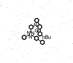 CCCCc1ccc2oc3c(ccc4c5ccccc5n(-c5cccc(-c6nc(-c7ccccc7)nc(-c7ccc(-c8ccccc8)cc7)n6)c5)c43)c2c1